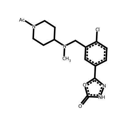 CC(=O)N1CCC(N(C)Cc2cc(-c3n[nH]c(=O)o3)ccc2Cl)CC1